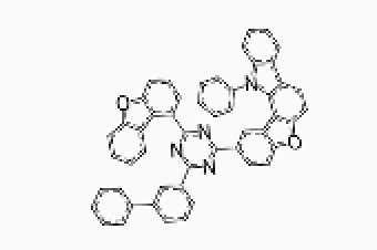 c1ccc(-c2cccc(-c3nc(-c4ccc5oc6ccc7c8ccccc8n(-c8ccccc8)c7c6c5c4)nc(-c4cccc5oc6ccccc6c45)n3)c2)cc1